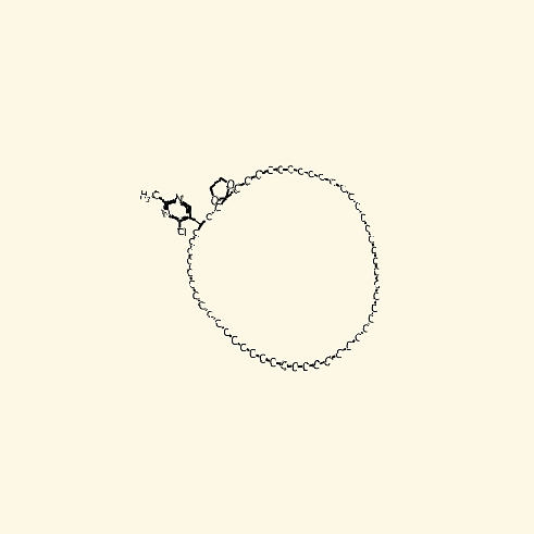 Cc1ncc(C2CCCCCCCCCCCCCCCCCCCCCCCCCCCCCCCCCCCCCCCCCCCCCCCCC3(CC2)OCCO3)c(Cl)n1